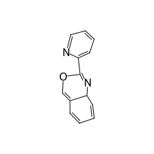 C1=CC2=COC(c3ccccn3)=NC2C=C1